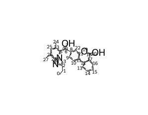 CCc1cn2c([C@H](O)c3ccc(-c4ccccc4C(=O)O)cc3)c(C)cc(C)c2n1